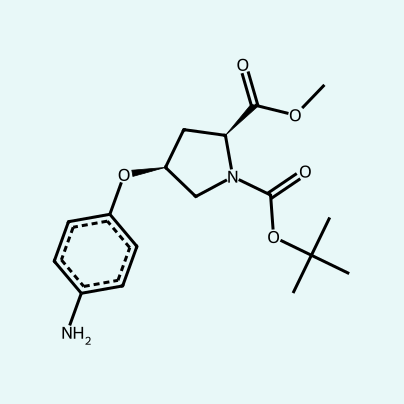 COC(=O)[C@@H]1C[C@H](Oc2ccc(N)cc2)CN1C(=O)OC(C)(C)C